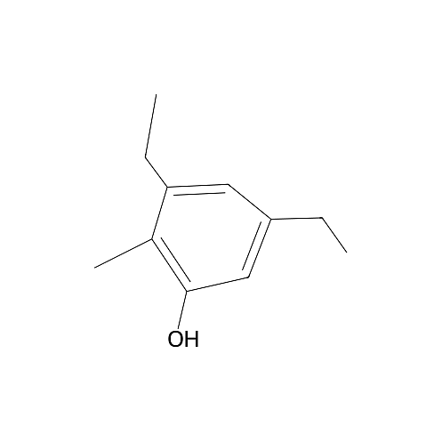 CCc1cc(O)c(C)c(CC)c1